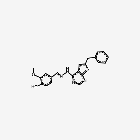 COc1cc(C=NNc2ncnc3sc(Cc4ccccc4)cc23)ccc1O